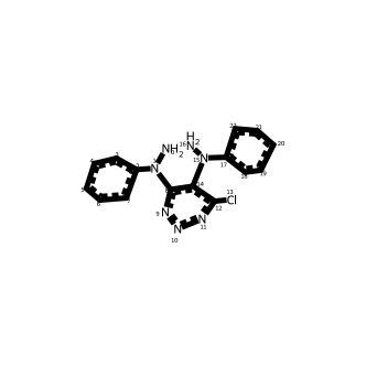 NN(c1ccccc1)c1nnnc(Cl)c1N(N)c1ccccc1